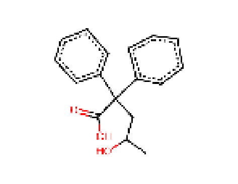 CC(O)CC(C(=O)O)(c1ccccc1)c1ccccc1